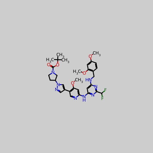 COc1ccc(CNc2cc(Nc3cc(OC)c(-c4cnn(C5CCN(C(=O)OC(C)(C)C)C5)c4)cn3)nc(C(F)F)n2)c(OC)c1